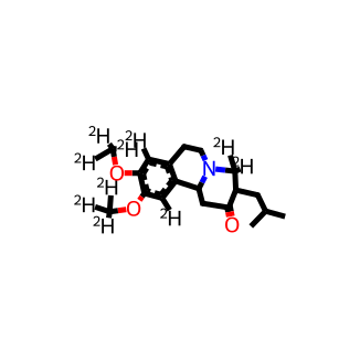 [2H]c1c2c(c([2H])c(OC([2H])([2H])[2H])c1OC([2H])([2H])[2H])C1CC(=O)C(CC(C)C)C([2H])([2H])N1CC2